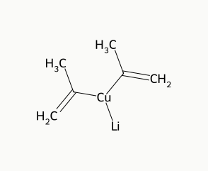 [Li][Cu]([C](=C)C)[C](=C)C